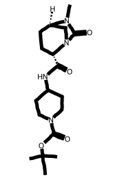 CN1C(=O)N2C[C@H]1CC[C@H]2C(=O)NC1CCN(C(=O)OC(C)(C)C)CC1